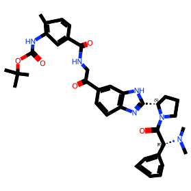 Cc1ccc(C(=O)NCC(=O)c2ccc3nc([C@@H]4CCCN4C(=O)[C@@H](c4ccccc4)N(C)C)[nH]c3c2)cc1NC(=O)OC(C)(C)C